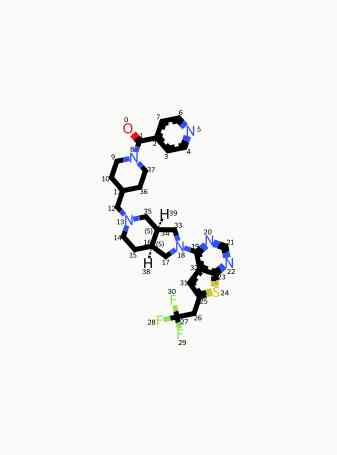 O=C(c1ccncc1)N1CCC(CN2CC[C@@H]3CN(c4ncnc5sc(CC(F)(F)F)cc45)C[C@@H]3C2)CC1